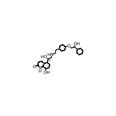 O=c1ccc2c([C@@H](O)CNCCc3ccc(OC[C@H](O)c4ccccc4)cc3)ccc(O)c2[nH]1